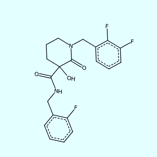 O=C(NCc1ccccc1F)C1(O)CCCN(Cc2cccc(F)c2F)C1=O